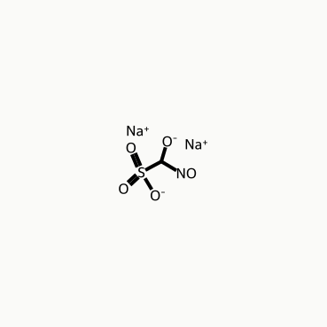 O=NC([O-])S(=O)(=O)[O-].[Na+].[Na+]